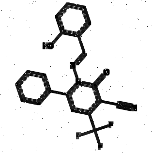 N#Cc1c(C(F)(F)F)cc(-c2ccccc2)n(N=Cc2ccccc2O)c1=O